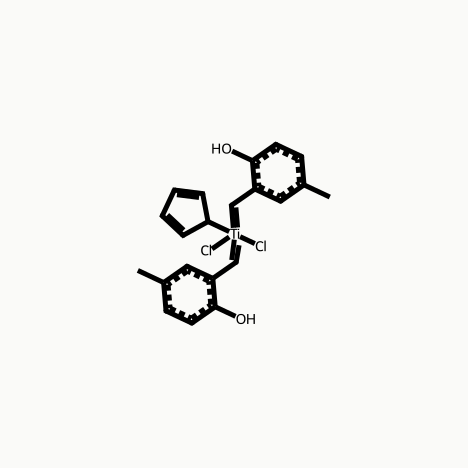 Cc1ccc(O)c([CH]=[Ti]([Cl])([Cl])(=[CH]c2cc(C)ccc2O)[CH]2C=CC=C2)c1